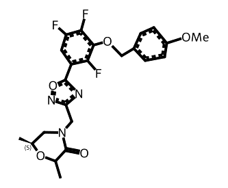 COc1ccc(COc2c(F)c(F)cc(-c3nc(CN4C[C@H](C)OC(C)C4=O)no3)c2F)cc1